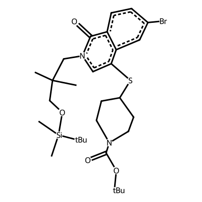 CC(C)(CO[Si](C)(C)C(C)(C)C)Cn1cc(SC2CCN(C(=O)OC(C)(C)C)CC2)c2cc(Br)ccc2c1=O